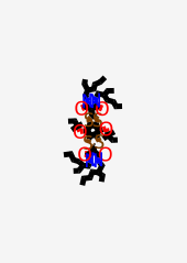 CCCCC(CC)CN1C(=O)C(=C2Sc3c(OC(C)(C)CC)c4c(c(OC(C)(C)CC)c3S2)SC(=C2C(=O)N(CC(CC)CCCC)N(CC(CC)CCCC)C2=O)S4)C(=O)N1CC(CC)CCCC